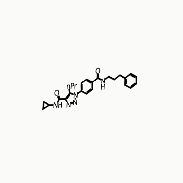 CCCc1c(C(=O)NC2CC2)nnn1-c1ccc(C(=O)NCCCc2ccccc2)cc1